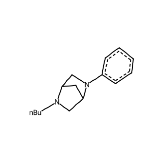 CCCCN1CC2CC1CN2c1ccccc1